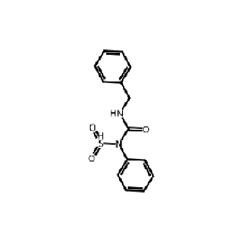 O=C(NCc1ccccc1)N(c1ccccc1)[SH](=O)=O